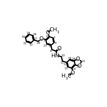 COc1ccc(CC(=O)NCCc2cc(OC)c3c(c2)OCO3)cc1OCc1ccccc1